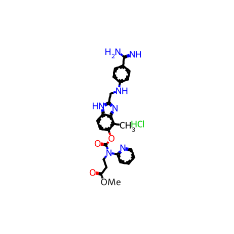 COC(=O)CCN(C(=O)Oc1ccc2[nH]c(CNc3ccc(C(=N)N)cc3)nc2c1C)c1ccccn1.Cl